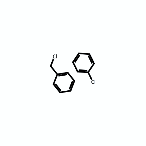 ClCc1ccccc1.Clc1ccccc1